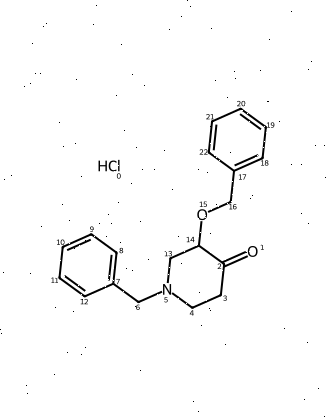 Cl.O=C1CCN(Cc2ccccc2)CC1OCc1ccccc1